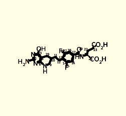 Nc1nc(O)c2c(n1)NCC(CCc1c(F)cc(C(=O)N[C@@H](CCC(=O)O)C(=O)O)cc1F)C2